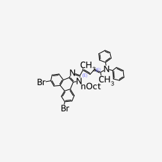 CCCCCCCCn1c(/C(C)=C/C=C(\C)N(c2ccccc2)c2ccccc2)nc2c3ccc(Br)cc3c3cc(Br)ccc3c21